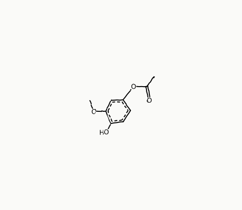 COc1cc(OC(C)=O)ccc1O